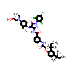 CCN(CCO)c1ccc(N=C2C(=O)N(c3c(Cl)cc(Cl)cc3Cl)N=C2NC(=O)c2cccc(NC(=O)COc3ccc(C(C)(C)CC)cc3C(C)(C)CC)c2)c(C)c1